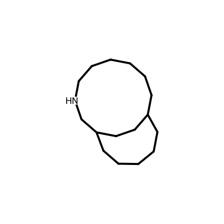 C1CCCC2CCCCCC(CC2)CNCC1